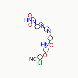 N#Cc1ccc(O[C@H]2CC[C@H](NC(=O)c3ccc(CN4CCC(n5ccc6c(N7CCC(=O)NC7=O)cccc65)CC4)cc3)CC2)cc1Cl